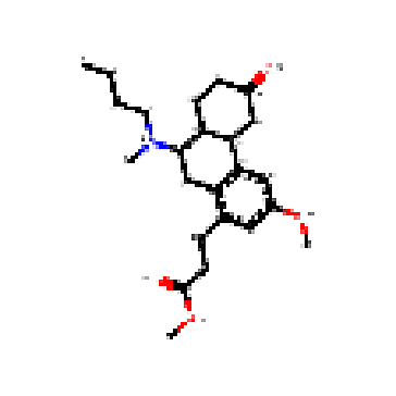 CCCCN(C)C1Cc2c(CCC(=O)OC)cc(OC)cc2C2CC(=O)CCC21